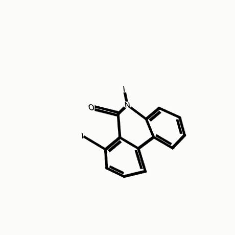 O=c1c2c(I)cccc2c2ccccc2n1I